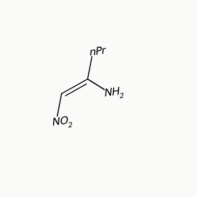 CCCC(N)=C[N+](=O)[O-]